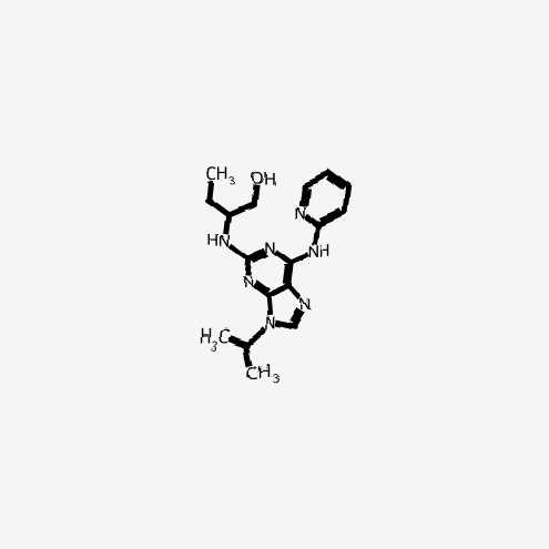 CCC(CO)Nc1nc(Nc2ccccn2)c2ncn(C(C)C)c2n1